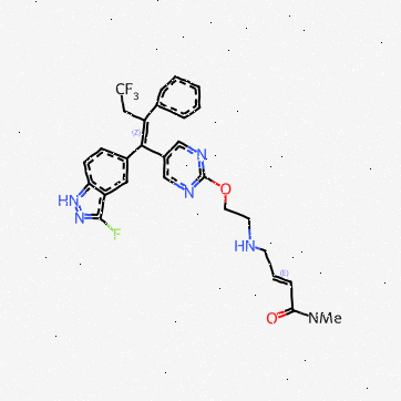 CNC(=O)/C=C/CNCCOc1ncc(/C(=C(/CC(F)(F)F)c2ccccc2)c2ccc3[nH]nc(F)c3c2)cn1